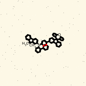 CC1(C)c2ccccc2-c2ccc(N(c3ccc(-c4ccc5c(c4)-c4ccccc4C54c5ccccc5Oc5ccccc54)cc3)c3ccccc3-c3ccccc3)cc21